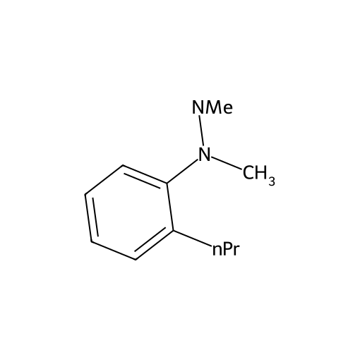 CCCc1ccccc1N(C)NC